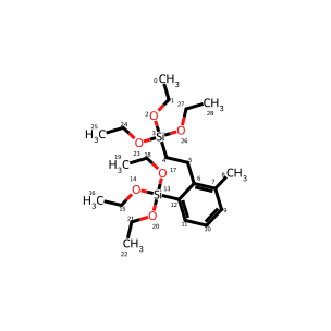 CCO[Si](CCc1c(C)cccc1[Si](OCC)(OCC)OCC)(OCC)OCC